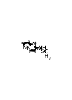 CSNc1ccn2nccc2n1